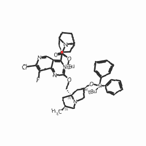 C[C@@H]1CN2C[C@H](O[Si](c3ccccc3)(c3ccccc3)C(C)(C)C)C[C@]2(COc2nc(N3CC4CCC(C3)N4C(=O)OC(C)(C)C)c3cnc(Cl)c(F)c3n2)C1